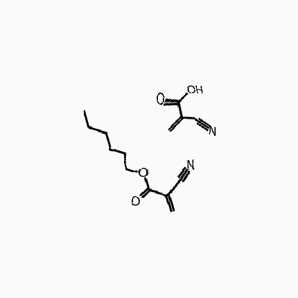 C=C(C#N)C(=O)O.C=C(C#N)C(=O)OCCCCCC